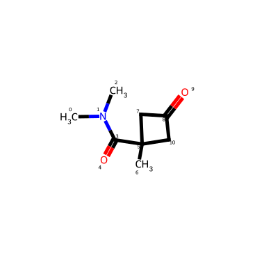 CN(C)C(=O)C1(C)CC(=O)C1